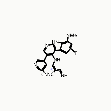 CNc1cc(F)cc2c1[nH]c1ncc(-c3cncc(C#N)c3)c(N/C=C(/C#N)C=N)c12